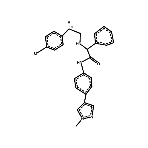 C[C@H](CNC(C(=O)Nc1ccc(-c2cnn(C)c2)cc1)c1ccccc1)c1ccc(Cl)cc1